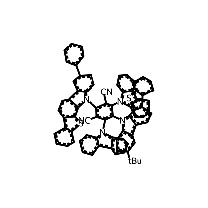 CC(C)(C)c1ccc2c(c1)c1ccc3c4ccccc4sc3c1n2-c1c(-n2c3ccccc3c3ccccc32)c(C#N)c(-n2c3ccc(-c4ccccc4)cc3c3ccc4c5ccccc5sc4c32)c(C#N)c1-n1c2ccccc2c2ccccc21